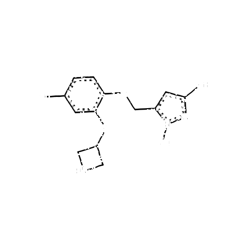 Cc1cc(COc2ccc(Cl)cc2OC2CNC2)n(C)n1